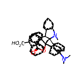 CN(C)c1ccc(C2(C(c3ccccc3)(C(c3ccccc3)c3ccc(C(=O)O)c4ccccc34)N(C)C)OC(=O)c3ccccc32)cc1